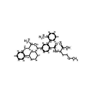 CSCCC(NC(=O)c1ccc(COC(C)CSc2ccccc2C2CCCCC2)cc1-c1ccccc1C)C(=O)O